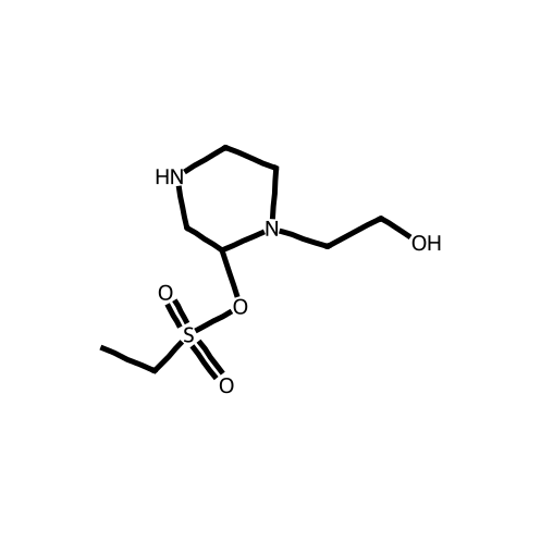 CCS(=O)(=O)OC1CNCCN1CCO